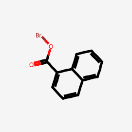 O=C(OBr)c1cccc2ccccc12